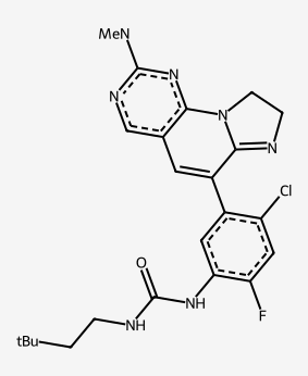 CNc1ncc2c(n1)N1CCN=C1C(c1cc(NC(=O)NCCC(C)(C)C)c(F)cc1Cl)=C2